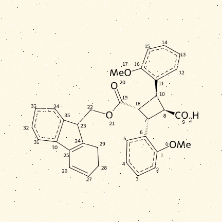 COc1ccccc1[C@H]1[C@H](C(=O)O)[C@H](c2ccccc2OC)[C@H]1C(=O)OCC1C2=C(C=CCC2)c2ccccc21